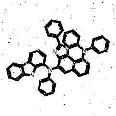 c1ccc(-c2nc3c(N(c4ccccc4)c4cccc5c4sc4ccccc45)cc4cccc(N(c5ccccc5)c5ccccc5)c4c3o2)cc1